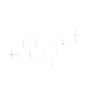 CN1CC(C(=O)NC(CO)C(C)(F)F)C=C2c3cccc4c3c(cn4C(F)(F)F)CC21